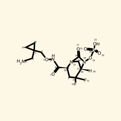 NCC1(CONC(=O)[C@@H]2CC(F)(F)[C@@H]3CN2C(=O)N3OS(=O)(=O)O)CC1